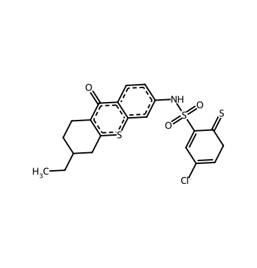 CCC1CCc2c(sc3cc(NS(=O)(=O)C4=CC(Cl)=CCC4=S)ccc3c2=O)C1